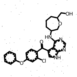 O=C(c1ccc(Oc2ccccc2)cc1Cl)c1c[nH]c2ncnc(NC3CCCC(CO)OC3)c12